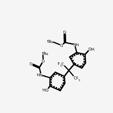 CC(C)(C)OC(=O)Nc1cc(C(c2ccc(O)c(NC(=O)OC(C)(C)C)c2)(C(F)(F)F)C(F)(F)F)ccc1O